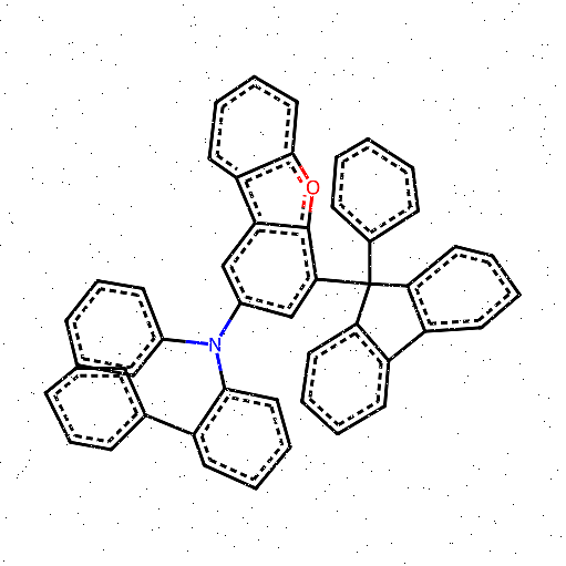 c1ccc(-c2ccccc2N(c2ccccc2)c2cc(C3(c4ccccc4)c4ccccc4-c4ccccc43)c3oc4ccccc4c3c2)cc1